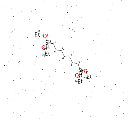 CCO[SiH](CCCCCCC[SiH](OCC)OCC)OCC